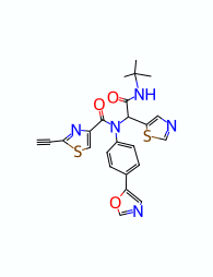 C#Cc1nc(C(=O)N(c2ccc(-c3cnco3)cc2)C(C(=O)NC(C)(C)C)c2cncs2)cs1